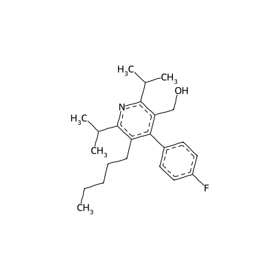 CCCCCc1c(C(C)C)nc(C(C)C)c(CO)c1-c1ccc(F)cc1